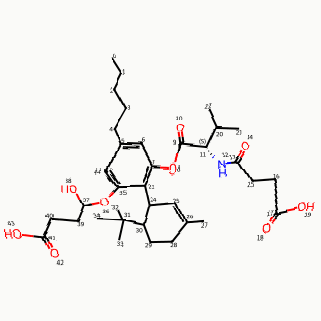 CCCCCc1cc(OC(=O)[C@@H](NC(=O)CCC(=O)O)C(C)C)c(C2C=C(C)CCC2C(C)(C)C)c(OC(O)CCC(=O)O)c1